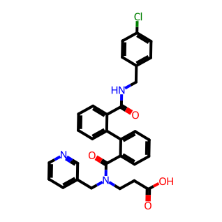 O=C(O)CCN(Cc1cccnc1)C(=O)c1ccccc1-c1ccccc1C(=O)NCc1ccc(Cl)cc1